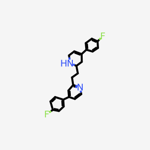 Fc1ccc(C2=CCNC(CCc3cc(-c4ccc(F)cc4)ccn3)C2)cc1